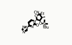 [C-]#[N+][C@]1(CC)O[C@@H](n2ccc(-n3cncn3)nc2=O)[C@H](O[Si](C)(C)C(C)(C)C)[C@@H]1C